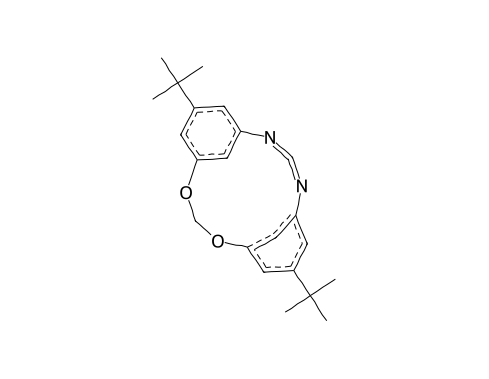 CC(C)(C)c1cc2cc(c1)OCOc1cc(cc(C(C)(C)C)c1)N=C=N2